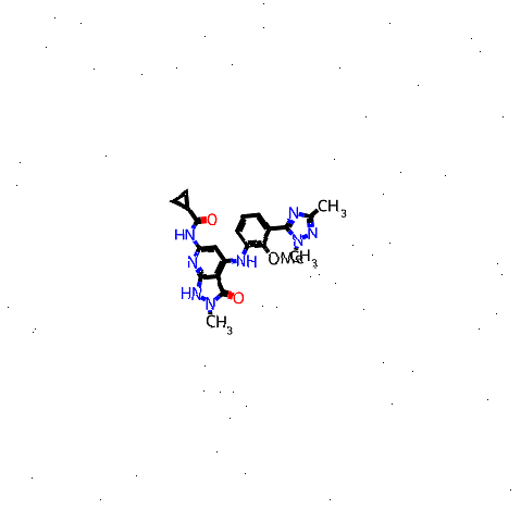 COc1c(Nc2cc(NC(=O)C3CC3)nc3[nH]n(C)c(=O)c23)cccc1-c1nc(C)nn1C